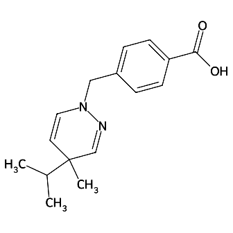 CC(C)C1(C)C=CN(Cc2ccc(C(=O)O)cc2)N=C1